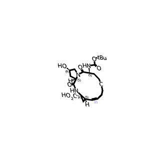 CC(C)(C)OC(=O)N[C@H]1CCCCC/C=C\[C@@H]2C[C@@]2(C(=O)O)NC(=O)[C@@H]2C[C@@H](O)CN2C1=O